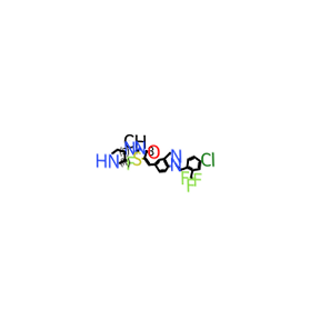 CN(C1=NC(=O)C(=Cc2ccc3c(cnn3Cc3ccc(Cl)cc3C(F)(F)F)c2)S1)[C@H]1CCNC[C@H]1F